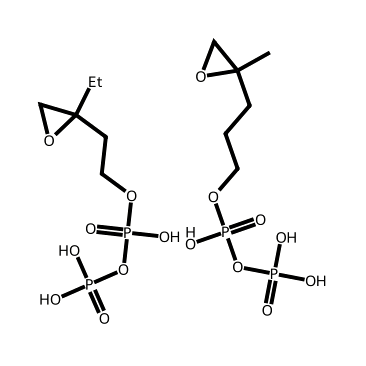 CC1(CCCOP(=O)(O)OP(=O)(O)O)CO1.CCC1(CCOP(=O)(O)OP(=O)(O)O)CO1